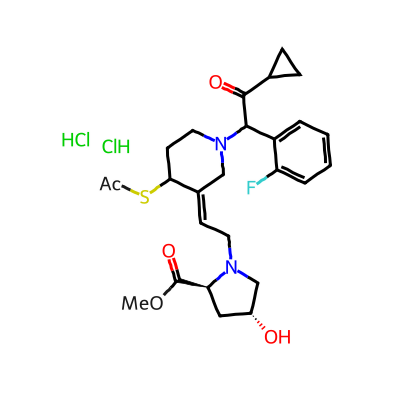 COC(=O)[C@@H]1C[C@@H](O)CN1C/C=C1\CN(C(C(=O)C2CC2)c2ccccc2F)CCC1SC(C)=O.Cl.Cl